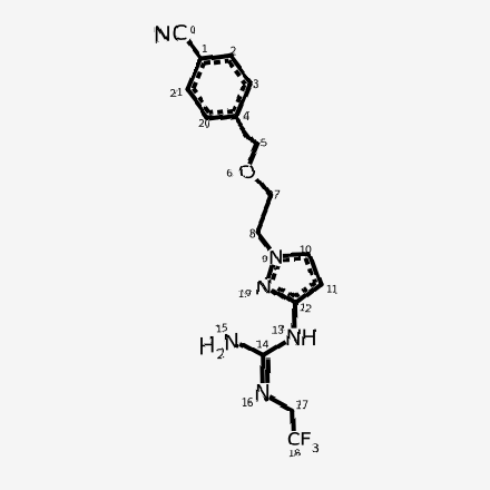 N#Cc1ccc(COCCn2ccc(N/C(N)=N\CC(F)(F)F)n2)cc1